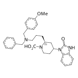 COc1ccc(CN(CCC[C@H]2CC(n3c(=O)[nH]c4ccccc43)CCN2C(=O)O)Cc2ccccc2)cc1